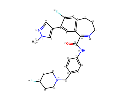 Cn1cc(-c2cc3c(cc2F)CCCN=C3C(=O)Nc2ccc(CN3CCC(F)CC3)cc2)cn1